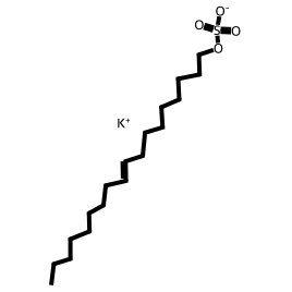 CCCCCCCCC=CCCCCCCCCOS(=O)(=O)[O-].[K+]